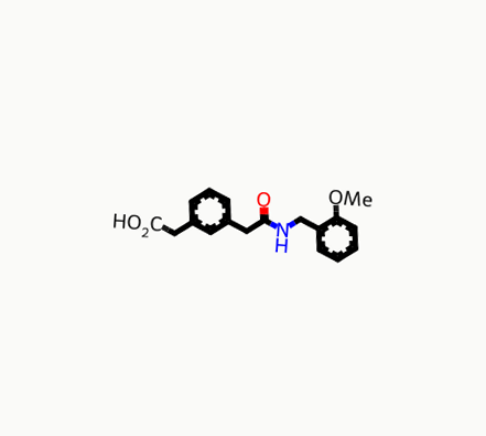 COc1ccccc1CNC(=O)Cc1cccc(CC(=O)O)c1